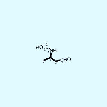 CC(CC=O)NC(=O)O